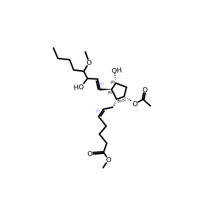 CCCCC(OC)C(O)/C=C/[C@@H]1[C@@H](C/C=C\CCCC(=O)OC)[C@@H](OC(C)=O)C[C@H]1O